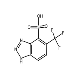 O=S(=O)(O)c1c(C(F)(F)F)ccc2[nH]nnc12